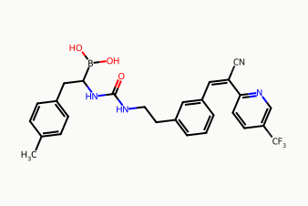 Cc1ccc(CC(NC(=O)NCCc2cccc(C=C(C#N)c3ccc(C(F)(F)F)cn3)c2)B(O)O)cc1